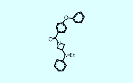 CCN(c1ccccc1)C1CN(C(=O)c2ccc(Oc3ccccc3)cc2)C1